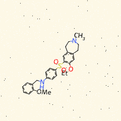 CCOc1cc2c(cc1S(=O)(=O)c1ccc(NCc3ccccc3OC)cc1)CCN(C)CC2